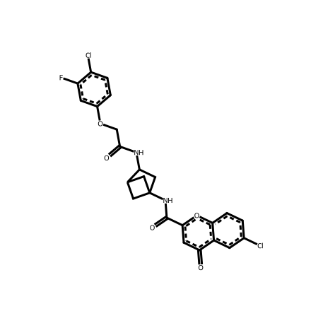 O=C(COc1ccc(Cl)c(F)c1)NC1CC2(NC(=O)c3cc(=O)c4cc(Cl)ccc4o3)CC1C2